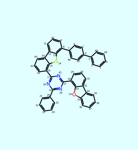 c1ccc(-c2ccc(-c3cccc4c3sc3c(-c5nc(-c6ccccc6)nc(-c6cccc7c6oc6ccccc67)n5)cccc34)cc2)cc1